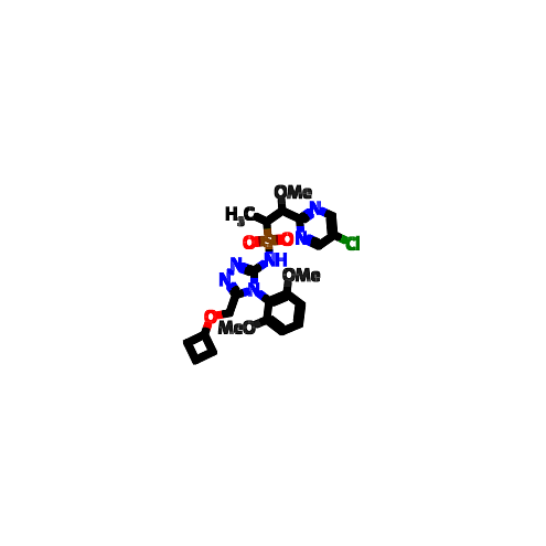 COc1cccc(OC)c1-n1c(COC2CCC2)nnc1NS(=O)(=O)C(C)C(OC)c1ncc(Cl)cn1